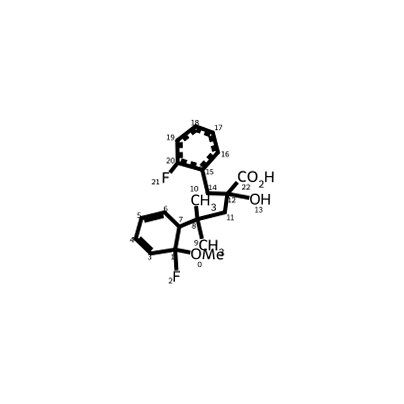 COC1(F)C=CC=CC1C(C)(C)CC(O)(Cc1ccccc1F)C(=O)O